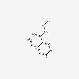 CCOC(=O)c1ccncc1C=O